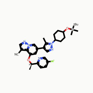 Cc1c(-c2cc(O[C@H](C)c3ccc(F)cn3)c3c(C#N)cnn3c2)cnn1C1CCC(O[Si](C)(C)C(C)(C)C)CC1